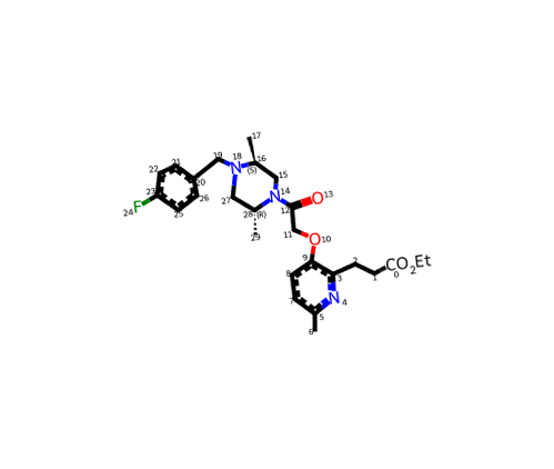 CCOC(=O)CCc1nc(C)ccc1OCC(=O)N1C[C@H](C)N(Cc2ccc(F)cc2)C[C@H]1C